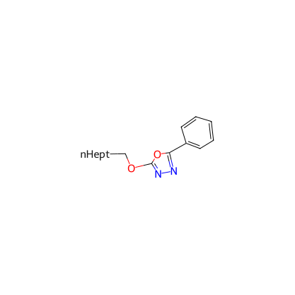 CCCCCCCCOc1nnc(-c2ccccc2)o1